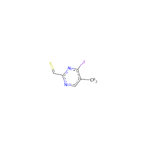 FC(F)(F)c1cnc(C=S)nc1I